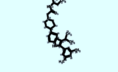 CCC(C)NC(=O)CN1CCC(c2ccc3[nH]c(-c4cc(C)nc(C)c4)c(C(C)C)c3c2)CC1